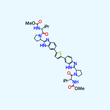 COC(=O)NC(C(=O)N1CCCC1c1nc2ccc(-c3ccc(-c4ccc5nc(C6CCCN6C(=O)C(NC(=O)OC)C(C)C)[nH]c5c4)s3)cc2[nH]1)C(C)C